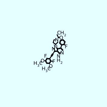 C=CC(=O)N1CC[C@H](n2nc(C#Cc3c(F)c(OC)cc(OC)c3F)c3c(N)ncc(-c4ccccc4F)c32)C1